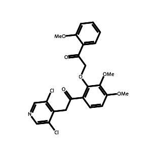 COc1ccccc1C(=O)COc1c(C(=O)Cc2c(Cl)cncc2Cl)ccc(OC)c1OC